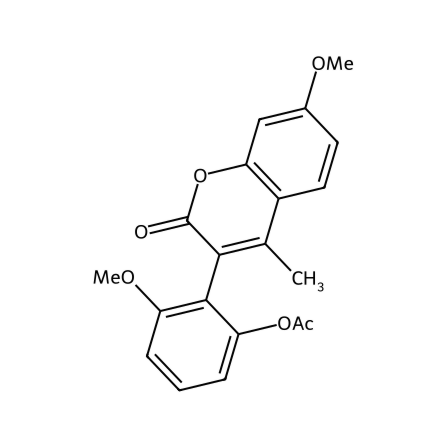 COc1ccc2c(C)c(-c3c(OC)cccc3OC(C)=O)c(=O)oc2c1